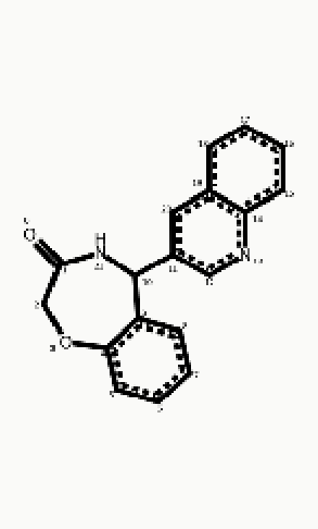 O=C1COc2ccccc2C(c2cnc3ccccc3c2)N1